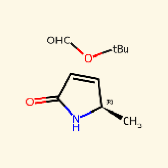 CC(C)(C)OC=O.C[C@@H]1C=CC(=O)N1